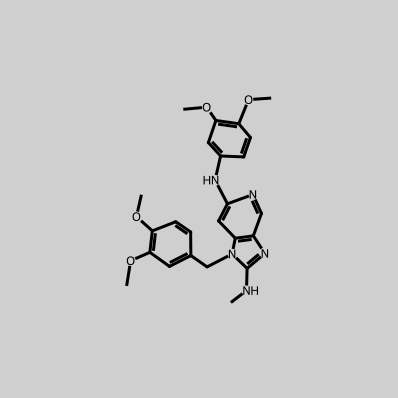 CNc1nc2cnc(Nc3ccc(OC)c(OC)c3)cc2n1Cc1ccc(OC)c(OC)c1